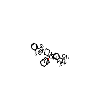 C[C@@](O)(c1ccc(N2CCN(S(=O)(=O)C3=CC=CCC3=S)C[C@@H]2CN2C3CCCC2CC(O)C3)cc1)C(F)(F)F